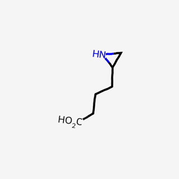 O=C(O)CCCC1CN1